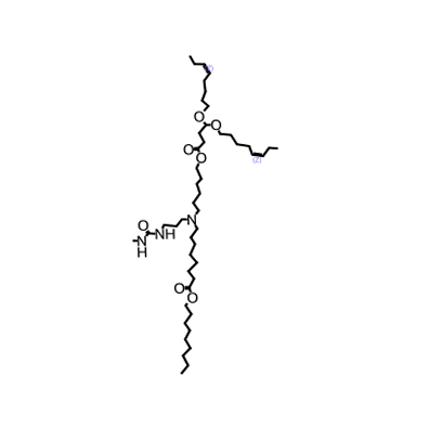 CC/C=C\CCCCOC(CCC(=O)OCCCCCCN(CCCCCCCC(=O)OCCCCCCCCC)CCCNC(=O)NC)OCCCC/C=C\CC